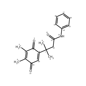 CC1=C(C)C(=O)C(C(C)(C)CC(=O)Nc2ccccc2)=CC1=O